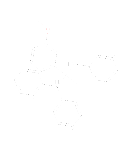 COc1cccc(C(C)([SiH2]c2ccccc2)[SiH](c2ccccc2)c2ccccc2)c1